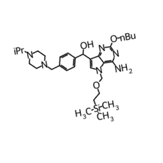 CCCCOc1nc(N)c2c(n1)c(C(O)c1ccc(CN3CCN(C(C)C)CC3)cc1)cn2COCC[Si](C)(C)C